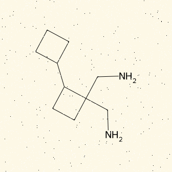 NCC1(CN)CCC1C1CCC1